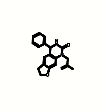 C=C(C)CN1C(=O)NC(c2ccccc2)c2cc3c(cc21)OCC3